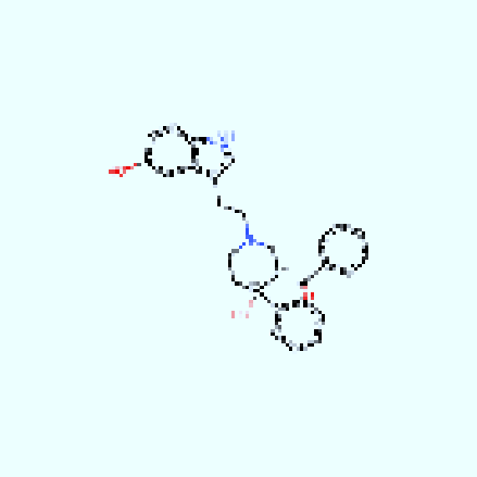 O=C(c1ccccc1)[C@H]1CN(CCc2c[nH]c3ccc(O)cc23)CC[C@]1(O)c1ccccc1